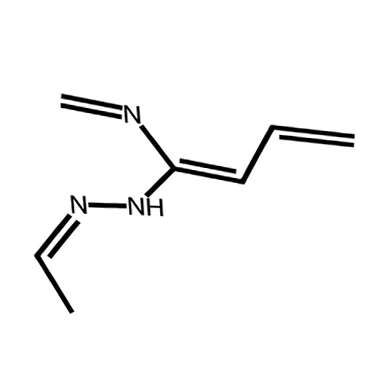 C=C/C=C(\N=C)N/N=C\C